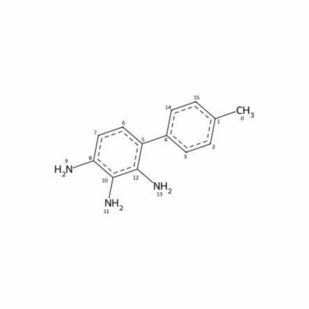 Cc1ccc(-c2ccc(N)c(N)c2N)cc1